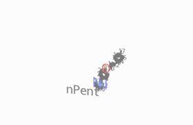 CCCCCc1cnc(-c2ccc(OCCC[C@H]3CC[C@H](C)CC3)cc2)nc1